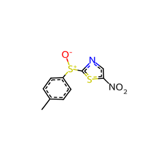 Cc1ccc([S+]([O-])c2ncc([N+](=O)[O-])s2)cc1